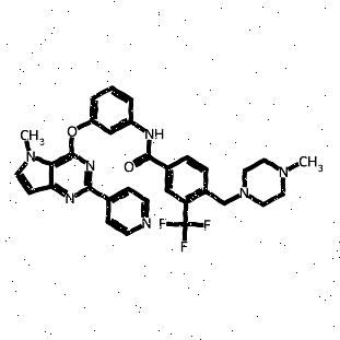 CN1CCN(Cc2ccc(C(=O)Nc3cccc(Oc4nc(-c5ccncc5)nc5ccn(C)c45)c3)cc2C(F)(F)F)CC1